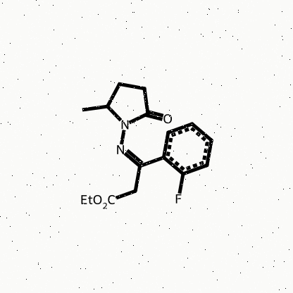 CCOC(=O)C/C(=N/N1C(=O)CCC1C)c1ccccc1F